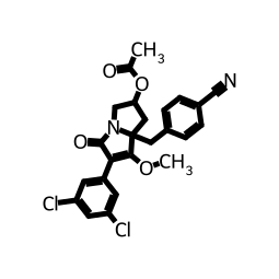 COC1=C(c2cc(Cl)cc(Cl)c2)C(=O)N2CC(OC(C)=O)CC12Cc1ccc(C#N)cc1